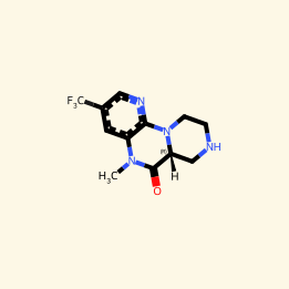 CN1C(=O)[C@H]2CNCCN2c2ncc(C(F)(F)F)cc21